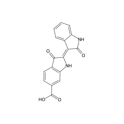 O=C1Nc2ccccc2/C1=C1/Nc2cc(C(=O)O)ccc2C1=O